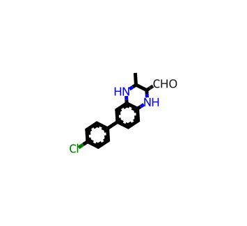 CC1Nc2cc(-c3ccc(Cl)cc3)ccc2NC1C=O